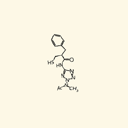 CC(=O)N(C)n1nnc(NC(=O)[C@@H](CS)Cc2ccccc2)n1